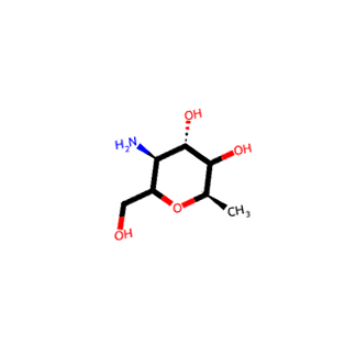 C[C@H]1OC(CO)[C@@H](N)[C@H](O)C1O